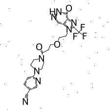 N#Cc1ccc(N2CCN(C(=O)CCOCCn3c(C(F)(F)F)nc4c(=O)[nH]ncc43)CC2)nc1